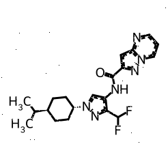 CC(C)[C@H]1CC[C@H](n2cc(NC(=O)c3cc4ncccn4n3)c(C(F)F)n2)CC1